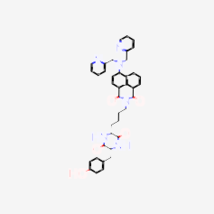 O=C1N[C@@H](Cc2ccc(O)cc2)C(=O)N[C@H]1CCCCN1C(=O)c2cccc3c(N(Cc4ccccn4)Cc4ccccn4)ccc(c23)C1=O